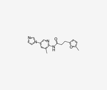 Cc1ccc(CCC(=O)Nc2ncc(-n3ccnc3)cc2C)o1